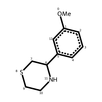 COc1cccc(C2CSCCN2)c1